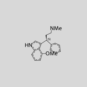 CNCC[C@@H](c1ccccc1)c1c[nH]c2cccc(OC)c12